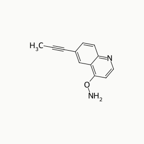 CC#Cc1ccc2nccc(ON)c2c1